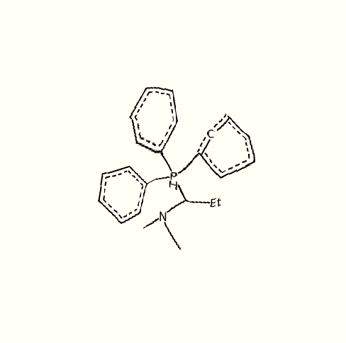 CCC(N(C)C)[PH](c1ccccc1)(c1ccccc1)c1ccccc1